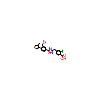 COCc1cc(-c2nc(Cc3ccc(C(=O)O)c(F)c3)no2)ccc1-c1cscc1C